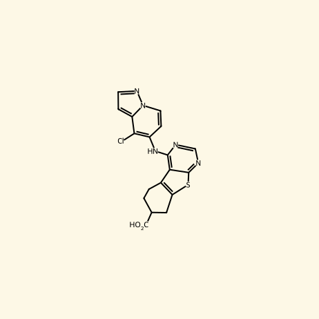 O=C(O)C1CCc2c(sc3ncnc(Nc4ccn5nccc5c4Cl)c23)C1